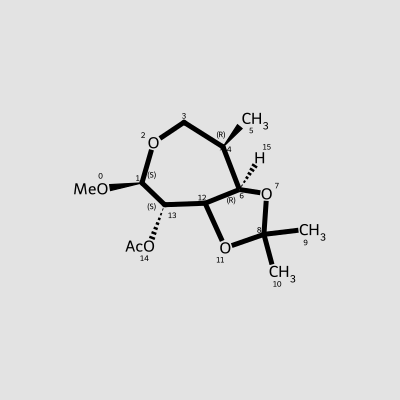 CO[C@H]1OC[C@@H](C)[C@H]2OC(C)(C)OC2[C@@H]1OC(C)=O